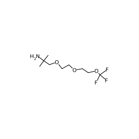 CC(C)(N)COCCOCCOC(F)(F)F